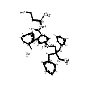 CSCC[C@H](NC(=O)c1ccc(NCC(CO)(Cc2ccccc2)Cc2ccccc2)cc1-c1ccccc1C)C(=O)[O-].[Na+]